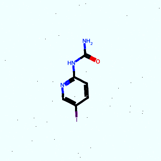 NC(=O)Nc1ccc(I)cn1